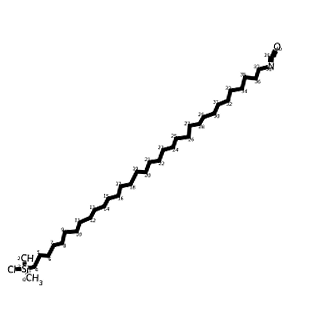 C[Si](C)(Cl)CCCCCCCCCCCCCCCCCCCCCCCCCCCCCCCCCCN=C=O